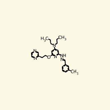 CCCN(CCC)c1cc(N/N=C/c2cccc(C)c2)nc(OCCc2cnccn2)c1